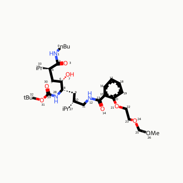 CCCCNC(=O)[C@@H](C[C@H](O)[C@H](C[C@H](CNC(=O)c1ccccc1OCCOCOC)C(C)C)NC(=O)OC(C)(C)C)C(C)C